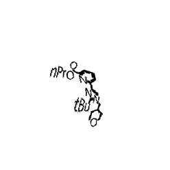 CCCOC(=O)c1cccc(-c2cn(CC3CCOCC3)c(C(C)(C)C)n2)n1